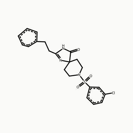 O=C1NC(CCc2ccccc2)=NC12CCN(S(=O)(=O)c1cccc(Cl)c1)CC2